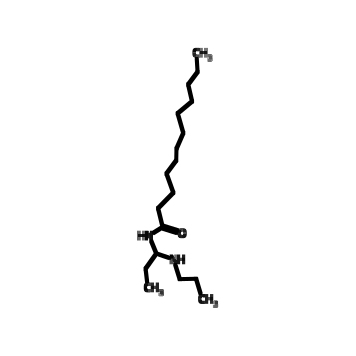 CCCCCCCCCCCC(=O)NC(CC)NCCC